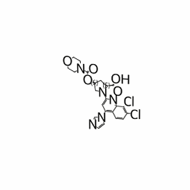 O=C(O)[C@@H]1C[C@H](OC(=O)N2CCOCC2)CN1c1cc(-n2ccnc2)c2ccc(Cl)c(Cl)c2n1